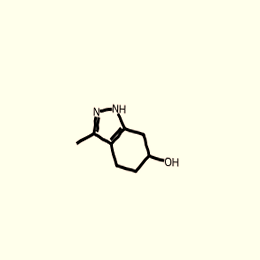 Cc1n[nH]c2c1CCC(O)C2